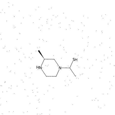 CC(S)N1CCN[C@@H](C)C1